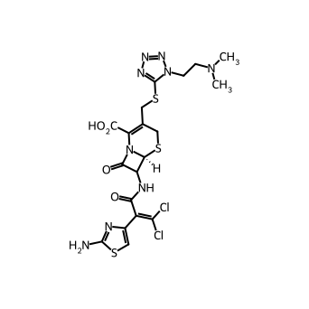 CN(C)CCn1nnnc1SCC1=C(C(=O)O)N2C(=O)C(NC(=O)C(=C(Cl)Cl)c3csc(N)n3)[C@@H]2SC1